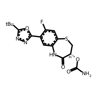 CC(C)(C)c1nnc(-c2cc3c(cc2F)SC[C@H](OC(N)=O)C(=O)N3)o1